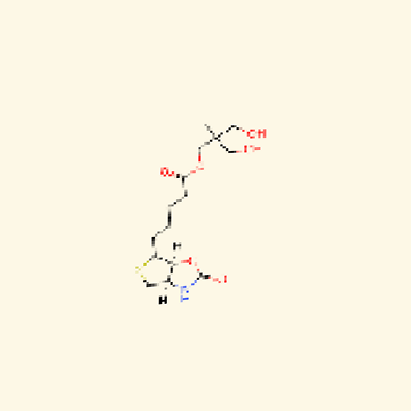 CC(CO)(CO)COC(=O)CCC/C=C1/SC[C@@H]2NC(=O)O[C@H]12